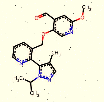 COc1cc(C=O)c(OCc2cccnc2-c2c(C)cnn2C(C)C)cn1